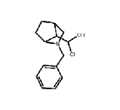 OC(O)C1C2CCC1N(Cc1ccccc1)C2